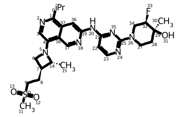 CC(C)c1ncc(N2C[C@H](CCS(C)(=O)=O)[C@H]2C)c2cnc(Nc3ccnc(N4CC[C@](C)(O)[C@H](F)C4)n3)cc12